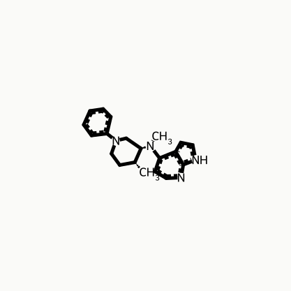 C[C@@H]1CCN(c2ccccc2)C[C@@H]1N(C)c1ccnc2[nH]ccc12